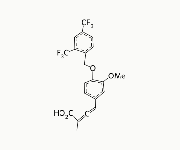 COc1cc(C=C=C(C)C(=O)O)ccc1OCc1ccc(C(F)(F)F)cc1C(F)(F)F